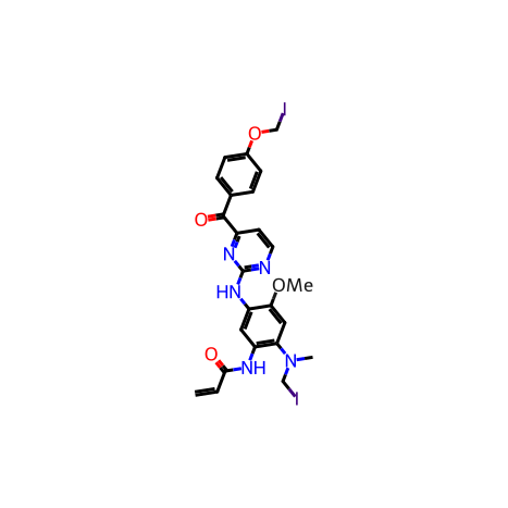 C=CC(=O)Nc1cc(Nc2nccc(C(=O)c3ccc(OCI)cc3)n2)c(OC)cc1N(C)CI